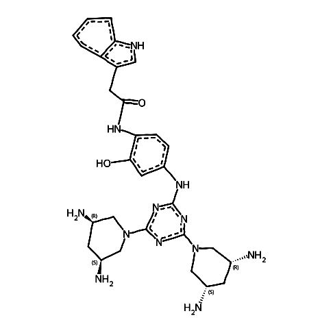 N[C@@H]1C[C@H](N)CN(c2nc(Nc3ccc(NC(=O)Cc4c[nH]c5ccccc45)c(O)c3)nc(N3C[C@H](N)C[C@H](N)C3)n2)C1